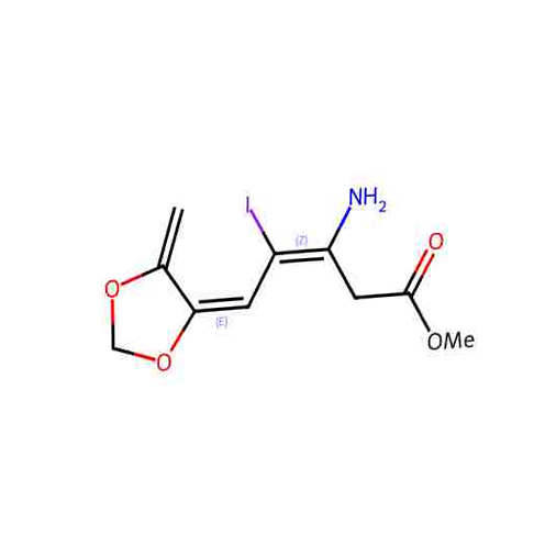 C=C1OCO/C1=C/C(I)=C(/N)CC(=O)OC